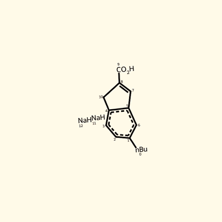 CCCCc1ccc2c(c1)C=C(C(=O)O)C2.[NaH].[NaH]